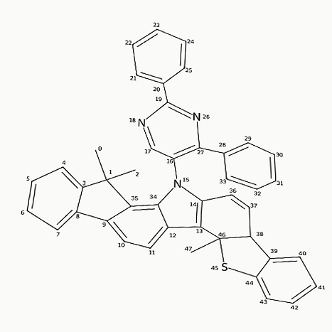 CC1(C)c2ccccc2-c2ccc3c4c(n(-c5cnc(-c6ccccc6)nc5-c5ccccc5)c3c21)C=CC1c2ccccc2SC41C